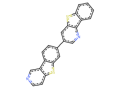 c1ccc2c(c1)sc1cc(-c3ccc4c(c3)sc3ccncc34)cnc12